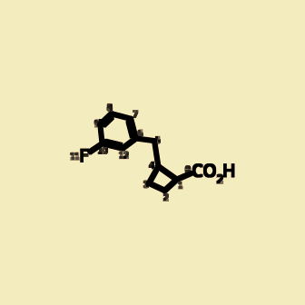 O=C(O)C1CCC1Cc1cc[c]c(F)c1